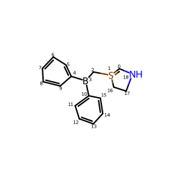 C1=S(CB(c2ccccc2)c2ccccc2)CCN1